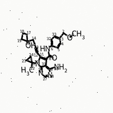 COCc1ccc(NC(=O)c2c(C#CCC3(O)CCC3)n(C3(C)CC3)c3ncnc(N)c23)cc1